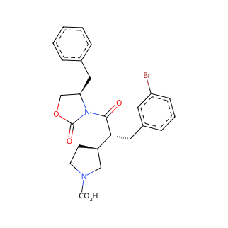 O=C(O)N1CC[C@@H]([C@@H](Cc2cccc(Br)c2)C(=O)N2C(=O)OC[C@H]2Cc2ccccc2)C1